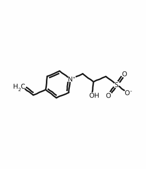 C=Cc1cc[n+](CC(O)CS(=O)(=O)[O-])cc1